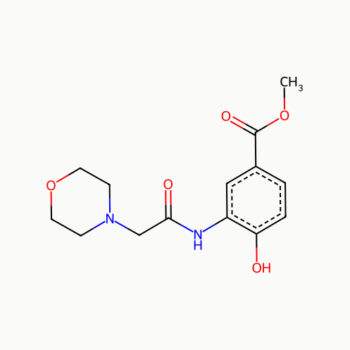 COC(=O)c1ccc(O)c(NC(=O)CN2CCOCC2)c1